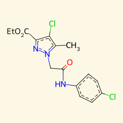 CCOC(=O)c1nn(CC(=O)Nc2ccc(Cl)cc2)c(C)c1Cl